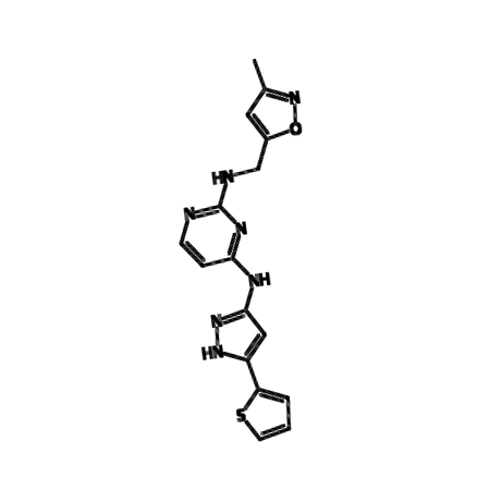 Cc1cc(CNc2nccc(Nc3cc(-c4cccs4)[nH]n3)n2)on1